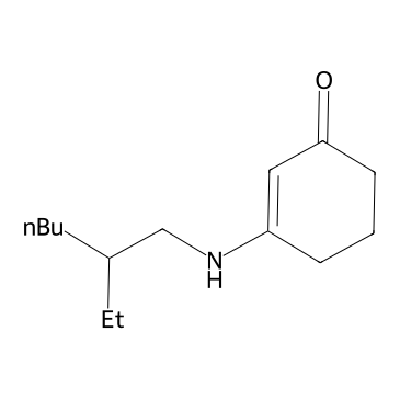 CCCCC(CC)CNC1=CC(=O)CCC1